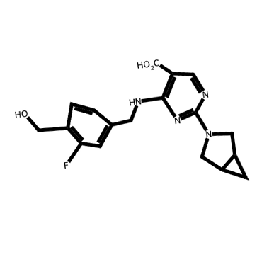 O=C(O)c1cnc(N2CC3CC3C2)nc1NCc1ccc(CO)c(F)c1